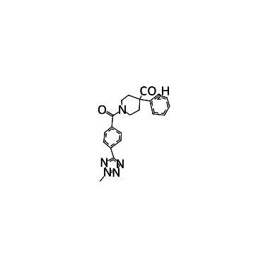 Cn1nnc(-c2ccc(C(=O)N3CCC(C(=O)O)(c4ccccc4)CC3)cc2)n1